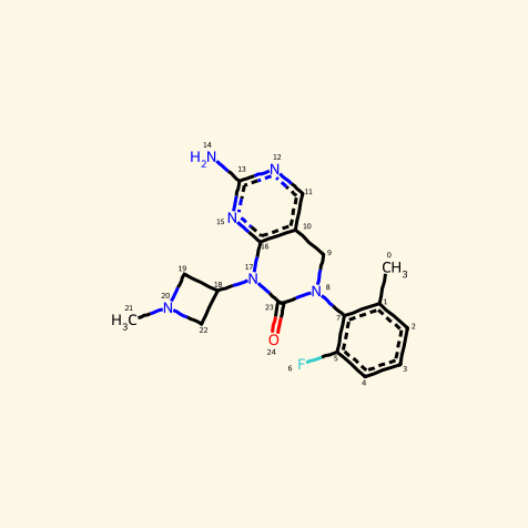 Cc1cccc(F)c1N1Cc2cnc(N)nc2N(C2CN(C)C2)C1=O